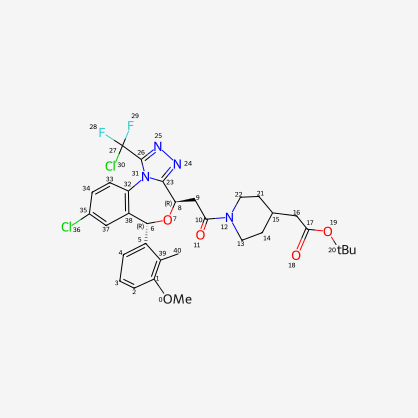 COc1cccc([C@H]2O[C@H](CC(=O)N3CCC(CC(=O)OC(C)(C)C)CC3)c3nnc(C(F)(F)Cl)n3-c3ccc(Cl)cc32)c1C